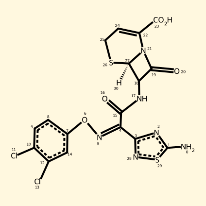 Nc1nc(/C(=N/Oc2ccc(Cl)c(Cl)c2)C(=O)NC2C(=O)N3C(C(=O)O)=CCS[C@H]23)ns1